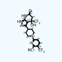 N#Cc1nc(N2CCC(c3n[nH]c4c3C(O)(C(F)(F)F)CC(=O)N4)CC2)ccc1C(F)(F)F